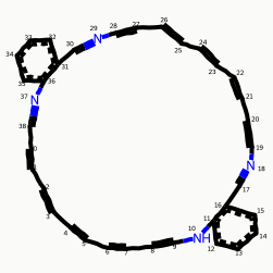 C1=C/C=C/C=C\C=C/C=C\Nc2ccccc2C=N\C=C/C=C\C=C\C=C/C=CN=Cc2ccccc2N=C1